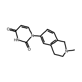 CN1CCc2cc(-n3ccc(=O)[nH]c3=O)ccc2C1